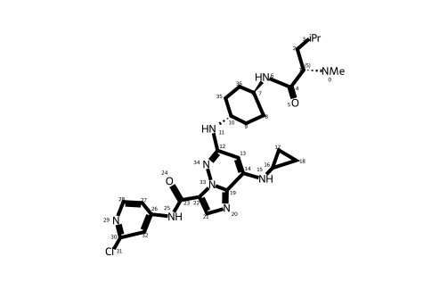 CN[C@@H](CC(C)C)C(=O)N[C@H]1CC[C@H](Nc2cc(NC3CC3)c3ncc(C(=O)Nc4ccnc(Cl)c4)n3n2)CC1